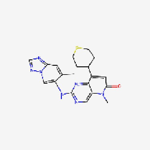 Cc1cc2ncnn2cc1Nc1ncc2c(n1)c(C1CCSCC1)cc(=O)n2C